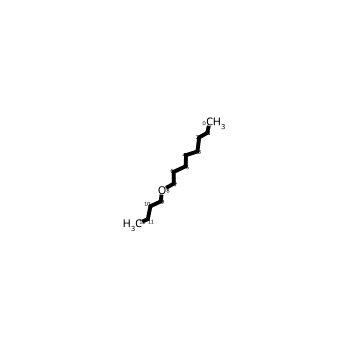 CCCCCC[CH]COCCCC